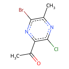 CC(=O)c1nc(Br)c(C)nc1Cl